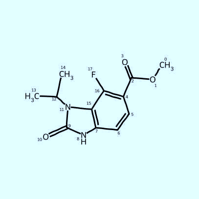 COC(=O)c1ccc2[nH]c(=O)n(C(C)C)c2c1F